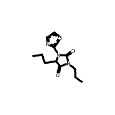 CCCC1C(=O)N(CCC)C(=O)N1c1nccs1